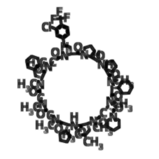 CC(C)C[C@H]1C(=O)N[C@@H](C2CCCC2)C(=O)N(C)CC(=O)N(C)CC(=O)N(C)[C@@H](CC2CCCCC2)C(=O)N(C)CC(=O)N[C@@H](CCc2ccc(C(F)(F)F)c(Cl)c2)C(=O)N2CCC[C@H]2C(=O)NC2(CCCC2)C(=O)N(C)[C@@H](C2CCCCC2)C(=O)N(C)[C@H](C(=O)N2CCCCC2)CC(=O)N1C